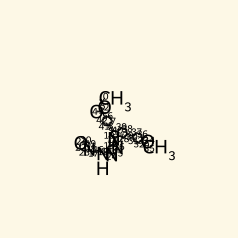 CCOC(=O)c1ccc(-c2cn(-c3cc(NCCN4CCOCC4)ncn3)c3cc(-c4ccc(OC)cc4)ccc23)cc1